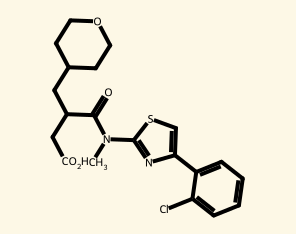 CN(C(=O)C(CC(=O)O)CC1CCOCC1)c1nc(-c2ccccc2Cl)cs1